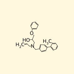 C=CCN(Cc1ccc(-c2ccccc2C)cc1)CC(O)COc1ccccc1